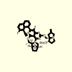 C#Cc1c(F)ccc2cccc(-c3nc4c5c(nc(OC[C@@]67CC(=C)CN6CC[C@@H]7OC)nc5c3F)N3C[C@H]5CC[C@H](N5)[C@H]3[C@H](C)O4)c12